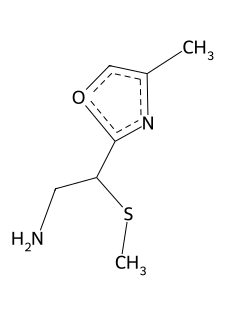 CSC(CN)c1nc(C)co1